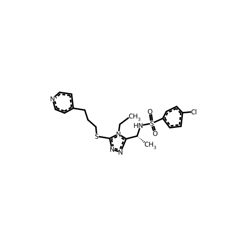 CCn1c(SCCCc2ccncc2)nnc1[C@@H](C)NS(=O)(=O)c1ccc(Cl)cc1